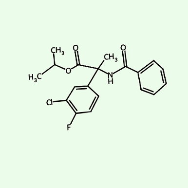 CC(C)OC(=O)C(C)(NC(=O)c1ccccc1)c1ccc(F)c(Cl)c1